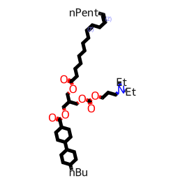 CCCCC/C=C\C/C=C\CCCCCCCC(=O)OCC(COC(=O)OCCCN(CC)CC)COC(=O)C1CCC(C2CCC(CCCC)CC2)CC1